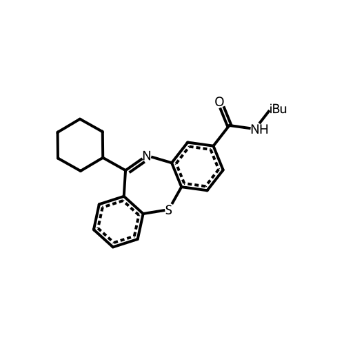 CCC(C)NC(=O)c1ccc2c(c1)N=C(C1CCCCC1)c1ccccc1S2